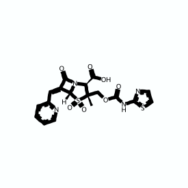 C[C@]1(COC(=O)Nc2nccs2)[C@H](C(=O)O)N2C(=O)/C(=C/c3ccccn3)[C@H]2S1(=O)=O